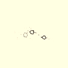 CC(=O)OC[C@H]1C[C@@H](Oc2ccc(COC(=O)Oc3ccc([N+](=O)[O-])cc3)cc2[N+](=O)[O-])C[C@@H](OC(C)=O)[C@H]1OC(C)=O